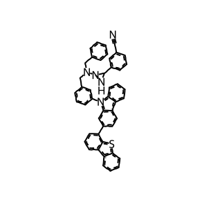 N#Cc1cccc(C2NN2N(Cc2ccccc2)Cc2cccc(-n3c4ccccc4c4ccc(-c5cccc6c5sc5ccccc56)cc43)c2)c1